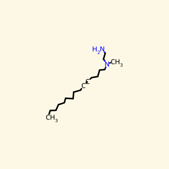 CCCCCCCCCCCCCCCN(C)CCN